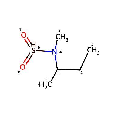 [CH2]C(CC)N(C)[SH](=O)=O